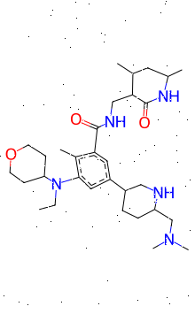 CCN(c1cc(C2CCC(CN(C)C)NC2)cc(C(=O)NCC2C(=O)NC(C)CC2C)c1C)C1CCOCC1